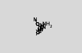 Cc1cc(C)c(N=NN2CN=C(N)N=C2Nc2ccc(C#N)cc2)c(C)c1